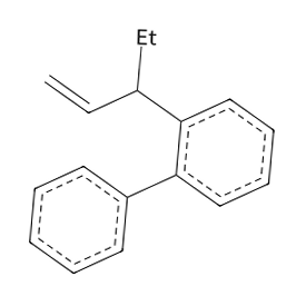 C=CC(CC)c1ccccc1-c1ccccc1